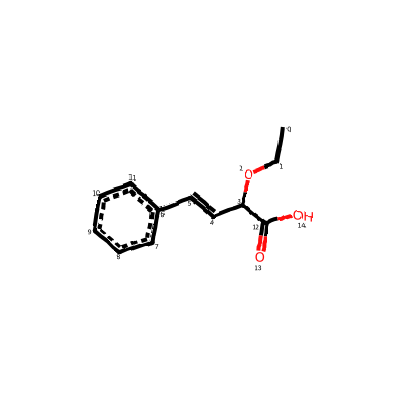 CCOC(C=Cc1ccccc1)C(=O)O